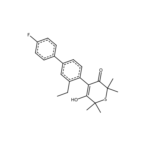 CCc1cc(-c2ccc(F)cc2)ccc1C1=C(O)C(C)(C)SC(C)(C)C1=O